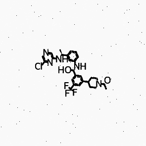 CC(=O)N1CCC(c2cc(C(O)Nc3cccc([C@H](C)Nc4cncc(Cl)n4)c3)cc(C(F)(F)F)c2)CC1